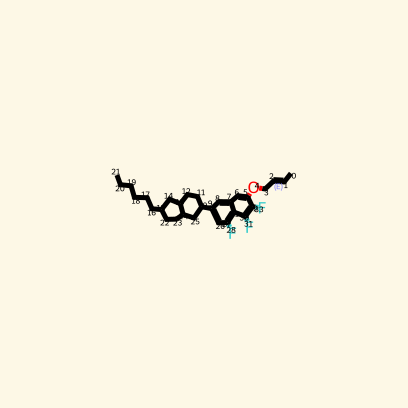 C/C=C/COc1cc2cc(C3CCC4CC(CCCCCC)CCC4C3)cc(F)c2c(F)c1F